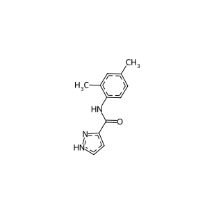 Cc1ccc(NC(=O)c2cc[nH]n2)c(C)c1